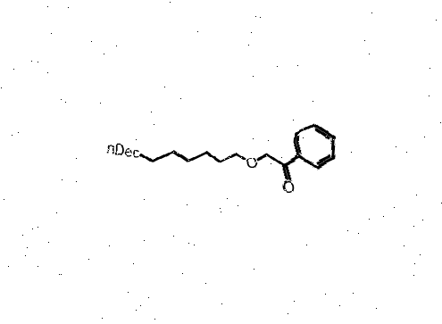 CCCCCCCCCCCCCCCCOCC(=O)c1ccccc1